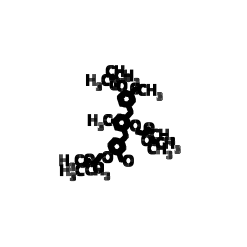 COc1cc(Cc2cc(C)cc(Cc3ccc(OCC(=O)OC(C)(C)C)c(C=O)c3)c2OCC(=O)OC(C)(C)C)ccc1OOC(C)(C)C